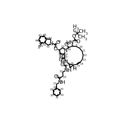 CC(C)(C)OC(=O)N[C@H]1CCCCC/C=C\[C@@H]2C[C@@]2(C(=O)NCCC(=O)NCc2ccccc2)NC(=O)[C@@H]2C[C@@H](OC(=O)N3Cc4cccc(F)c4C3)CN2C1=O